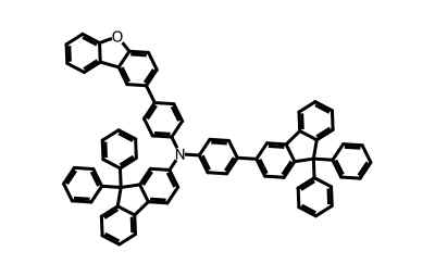 c1ccc(C2(c3ccccc3)c3ccccc3-c3cc(-c4ccc(N(c5ccc(-c6ccc7oc8ccccc8c7c6)cc5)c5ccc6c(c5)C(c5ccccc5)(c5ccccc5)c5ccccc5-6)cc4)ccc32)cc1